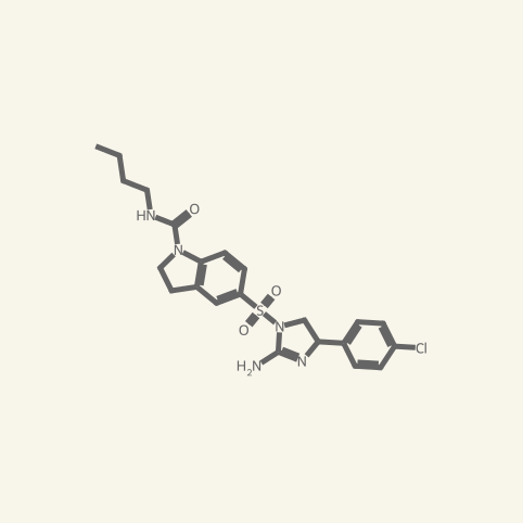 CCCCNC(=O)N1CCc2cc(S(=O)(=O)N3CC(c4ccc(Cl)cc4)N=C3N)ccc21